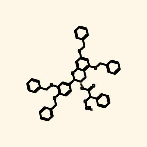 COC(C(=O)O[C@H]1Cc2c(OCc3ccccc3)cc(OCc3ccccc3)cc2O[C@@H]1c1ccc(OCc2ccccc2)c(OCc2ccccc2)c1)c1ccccc1